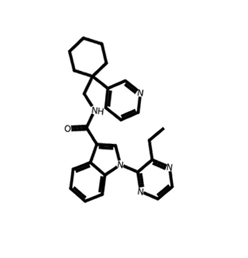 CCc1nccnc1-n1cc(C(=O)NCC2(c3cccnc3)CCCCC2)c2ccccc21